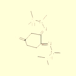 CN(N=C1CCC(=O)CC1=NN(C)[SiH](C)C)[SiH](C)C